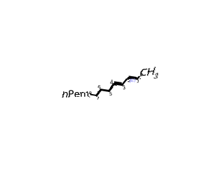 C/[C]=C/C=CCCCCCCCC